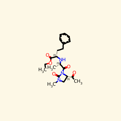 CCOC(=O)[C@H](CCc1ccccc1)N[C@@H](C)C(=O)N1C(=O)N(C)C[C@H]1C(C)=O